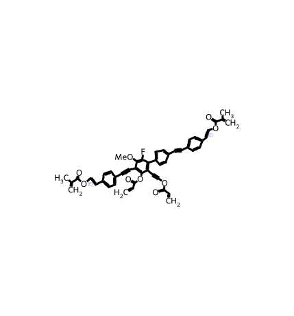 C=CC(=O)OC#Cc1c(OC(=O)C=C)c(C#Cc2ccc(/C=C/OC(=O)C(=C)C)cc2)c(OC)c(F)c1-c1ccc(C#Cc2ccc(/C=C/OC(=O)C(=C)C)cc2)cc1